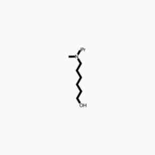 CC(C)N(C)CCCCCCO